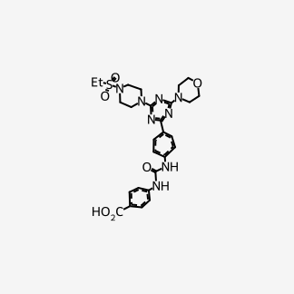 CCS(=O)(=O)N1CCN(c2nc(-c3ccc(NC(=O)Nc4ccc(C(=O)O)cc4)cc3)nc(N3CCOCC3)n2)CC1